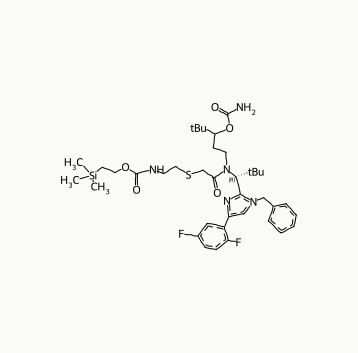 CC(C)(C)C(CCN(C(=O)CSCCNC(=O)OCC[Si](C)(C)C)[C@@H](c1nc(-c2cc(F)ccc2F)cn1Cc1ccccc1)C(C)(C)C)OC(N)=O